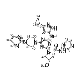 CO[C@H]1C[C@@H](C(=O)Nc2cnccn2)N(c2nc(Nc3cc(C4CC4)n[nH]3)nc(N3CCN(c4ncccn4)CC3)n2)C1